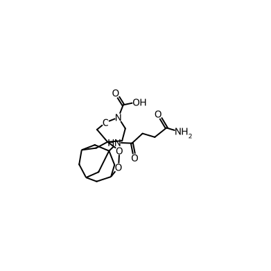 NC(=O)CCC(=O)NC12CC3CC(C1)CC1(CCN(C(=O)O)CC1)OOC(C3)C2